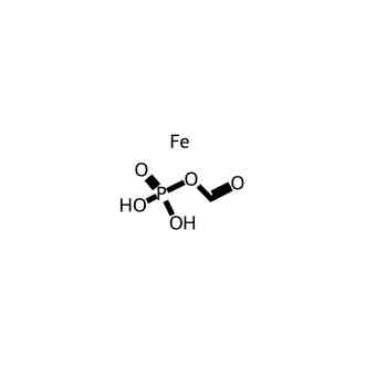 O=COP(=O)(O)O.[Fe]